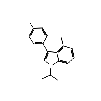 Cc1cccc2c1c(-c1ccc(F)cc1)cn2C(C)C